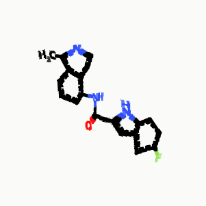 Cc1nccc2c(NC(=O)c3cc4cc(F)ccc4[nH]3)cccc12